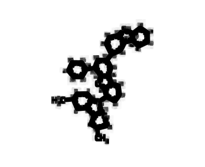 Cc1ccc2c(c1)c1cc(C)ccc1n2-c1cccc2c1oc1c(-c3ccccc3)cc(-c3ccc4sc5ccccc5c4c3)cc12